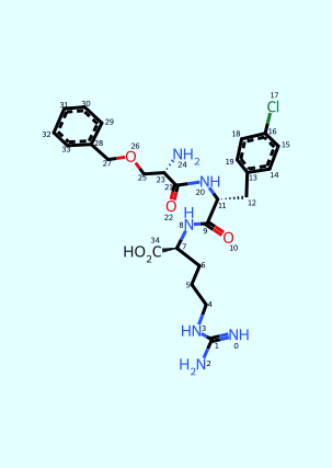 N=C(N)NCCC[C@H](NC(=O)[C@@H](Cc1ccc(Cl)cc1)NC(=O)[C@@H](N)COCc1ccccc1)C(=O)O